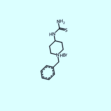 Br.NC(=S)NC1CCN(Cc2ccccc2)CC1